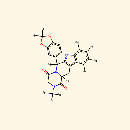 [2H]c1c([2H])c([2H])c2c3c([nH]c2c1[2H])[C@@]([2H])(c1ccc2c(c1)OC([2H])([2H])O2)N1C(=O)CN(C([2H])([2H])[2H])C(=O)[C@@]1([2H])C3